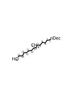 C.CCCCCCCCCCCCCCCCCCCCCCCCO